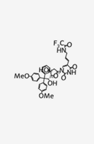 COc1ccc(C(c2ccccc2)(c2ccc(OC)cc2)C(O)[C@H]2O[C@@H](n3cc(C=CCNC(=O)C(F)(F)F)c(=O)[nH]c3=O)C[C@@H]2O)cc1